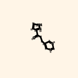 O=C(CCc1cncnc1)c1cc[nH]n1